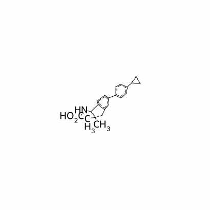 CC1(C)Cc2cc(-c3ccc(C4CC4)cc3)ccc2C1NC(=O)O